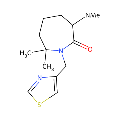 CNC1CCCC(C)(C)N(Cc2cscn2)C1=O